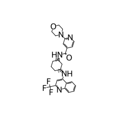 O=C(N[C@@H]1CCC[C@H](Nc2cc(C(F)(F)F)nc3ccccc23)C1)c1ccnc(N2CCOCC2)c1